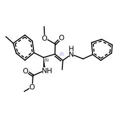 COC(=O)N[C@H](/C(C(=O)OC)=C(\C)NCc1ccccc1)c1ccc(C)cc1